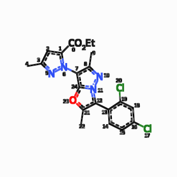 CCOC(=O)c1cc(C)nn1-c1c(C)nn2c(-c3ccc(Cl)cc3Cl)c(C)oc12